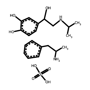 CC(C)NCC(O)c1ccc(O)c(O)c1.CC(N)Cc1ccccc1.O=S(=O)(O)O